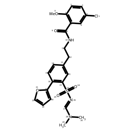 COc1ccc(Cl)cc1C(=O)NCCc1ccc(-c2ccco2)c(S(=O)(=O)N=CN(C)C)c1